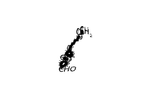 C=CC(=O)OCCCCCCOc1ccc(OC(=O)[C@H]2CC[C@H](C=O)CC2)cc1